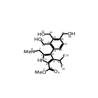 CNCc1[nH]c(C(=O)OC)c(C(F)F)c1-c1ccc(CO)c(CO)c1CO